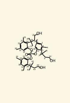 Cc1cc(C)c(C(C)(C)CCO)c(OP(=O)(Oc2cc(C)cc(C)c2C(C)(C)CCO)Oc2cc(C)cc(C)c2C(C)(C)CCO)c1